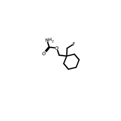 NC(=O)OCC1(CF)CCCCC1